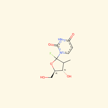 CC1[C@H](O)[C@@H](CO)OC1(F)n1ccc(=O)[nH]c1=O